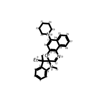 CCC1(C)c2ccccc2N(C)C12C=Nc1c(cc(N3CCCCC3)c3ccccc13)O2